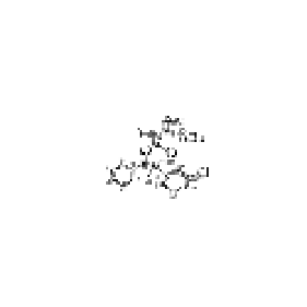 CCCC[C@H](NC(=O)O[C@@H](c1ccccc1)C(C)(C)c1cccc(Cl)c1)C(C)=O